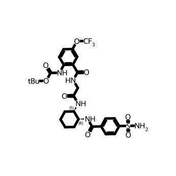 CC(C)(C)OC(=O)Nc1ccc(OC(F)(F)F)cc1C(=O)NCC(=O)N[C@H]1CCCC[C@H]1NC(=O)c1ccc(S(N)(=O)=O)cc1